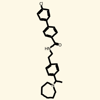 CC(c1ccc(CCNC(=O)c2ccc(-c3ccc(Cl)cc3)cc2)cc1)N1CCCCCC1